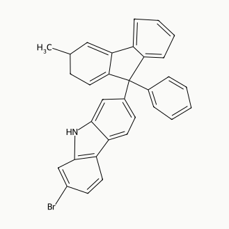 CC1C=C2C(=CC1)C(c1ccccc1)(c1ccc3c(c1)[nH]c1cc(Br)ccc13)c1ccccc12